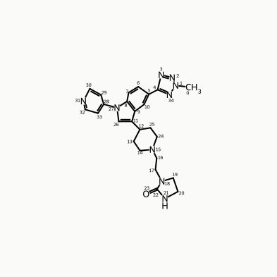 Cn1nnc(-c2ccc3c(c2)c(C2CCN(CCN4CCNC4=O)CC2)cn3-c2ccncc2)n1